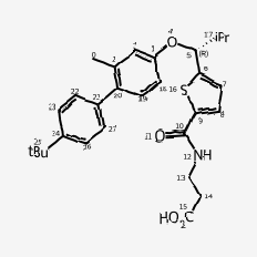 Cc1cc(O[C@@H](c2ccc(C(=O)NCCC(=O)O)s2)C(C)C)ccc1-c1ccc(C(C)(C)C)cc1